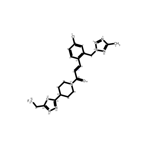 Cc1nnn(Cc2cc(Cl)ccc2/C=C/C(=O)N2CCC(c3nnc(CC(F)(F)F)o3)CC2)n1